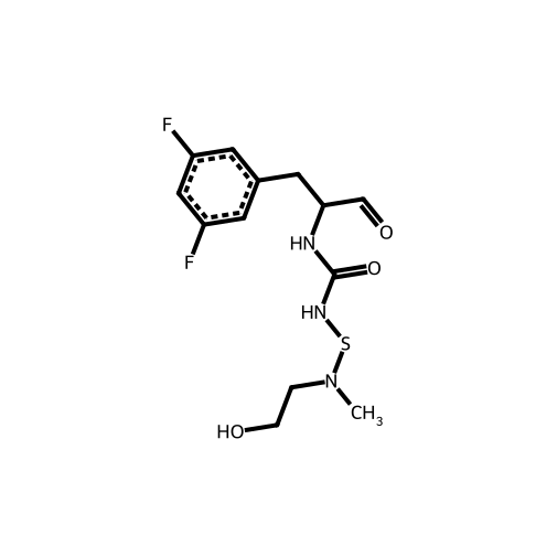 CN(CCO)SNC(=O)NC(C=O)Cc1cc(F)cc(F)c1